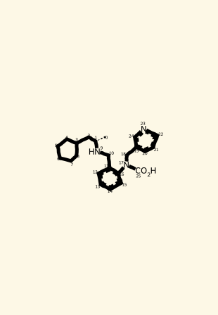 C[C@@H](CC1CCCCC1)NCc1ccccc1N(Cc1cccnc1)C(=O)O